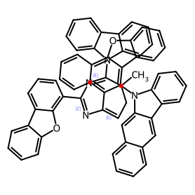 CC1C/C=C(c2c(-n3c4ccccc4c4cc5ccccc5cc43)c3c4ccccc4oc3c3ccccc23)/N=C(c2cccc3c2oc2ccccc23)\N=C/1n1c2ccccc2c2ccccc21